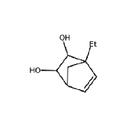 CCC12C=CC(C1)C(O)C2O